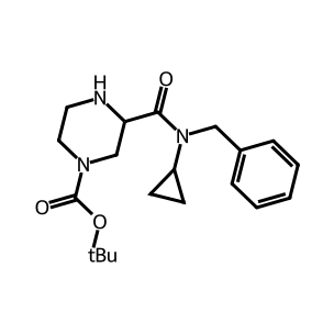 CC(C)(C)OC(=O)N1CCNC(C(=O)N(Cc2ccccc2)C2CC2)C1